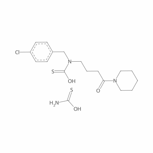 NC(O)=S.O=C(CCCN(Cc1ccc(Cl)cc1)C(O)=S)N1CCCCC1